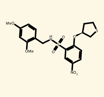 COc1ccc(CNS(=O)(=O)c2cc([N+](=O)[O-])ccc2O[C@H]2CCSC2)c(OC)c1